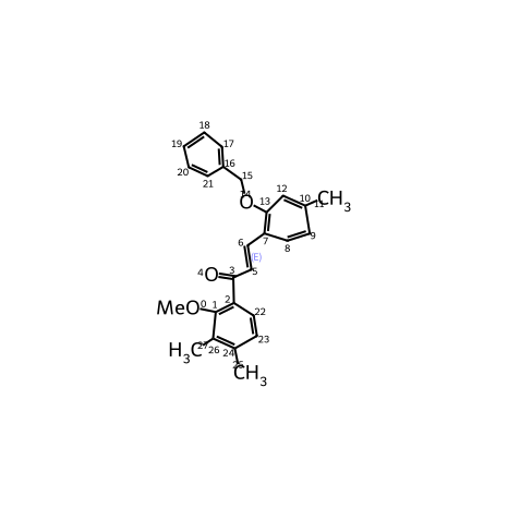 COc1c(C(=O)/C=C/c2ccc(C)cc2OCc2ccccc2)ccc(C)c1C